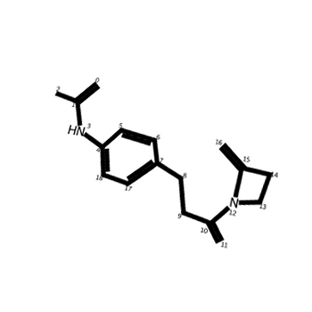 C=C(C)Nc1ccc(CCC(=C)N2CCC2=C)cc1